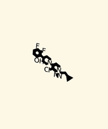 Oc1ccc(F)c(F)c1C1CCN(c2ccn3c(CC4CC4)nnc3c2Cl)CC1